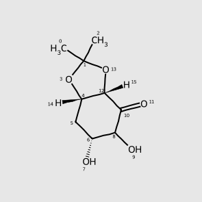 CC1(C)O[C@H]2C[C@@H](O)C(O)C(=O)[C@H]2O1